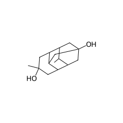 CC1C2CC3(O)CC1C1CC(C)(O)CC2C1C3